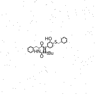 CC(C)(C)OC(=O)NC(Cc1ccccc1)C(=O)Nc1ccc(SCc2ccccc2)c(O)c1